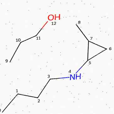 CCCCNC1CC1C.CCCO